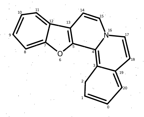 C1=CCC2=C3c4oc5ccccc5c4C=CN3C=CC2=C1